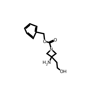 NC1(CCO)CN(C(=O)OCc2ccccc2)C1